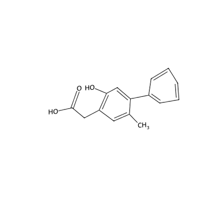 Cc1cc(CC(=O)O)c(O)cc1-c1ccccc1